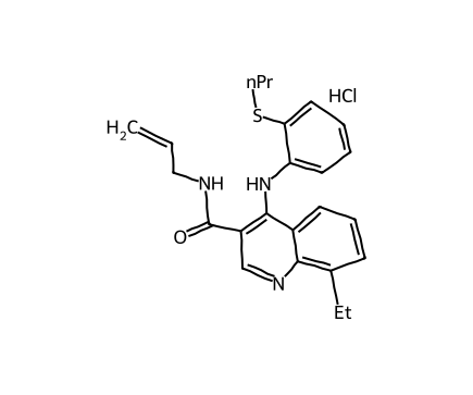 C=CCNC(=O)c1cnc2c(CC)cccc2c1Nc1ccccc1SCCC.Cl